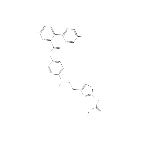 Cc1ccc(-c2ccccc2C(=O)Nc2ccc(N(CCc3csc(NC(=O)OC(C)(C)C)n3)C(=O)O)cc2)cc1